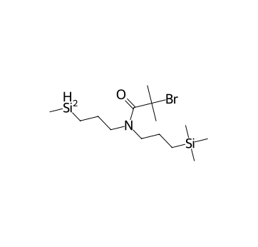 C[SiH2]CCCN(CCC[Si](C)(C)C)C(=O)C(C)(C)Br